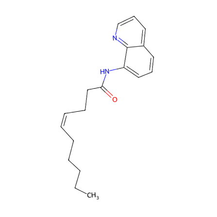 CCCCC/C=C\CCC(=O)Nc1cccc2cccnc12